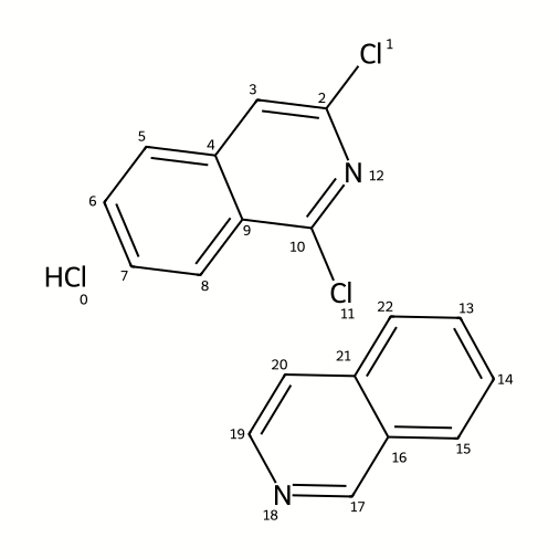 Cl.Clc1cc2ccccc2c(Cl)n1.c1ccc2cnccc2c1